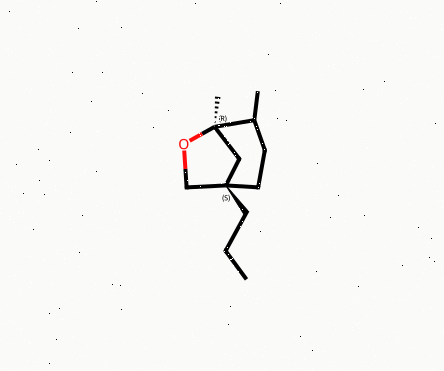 CCC[C@]12CCC(C)[C@@](C)(C1)OC2